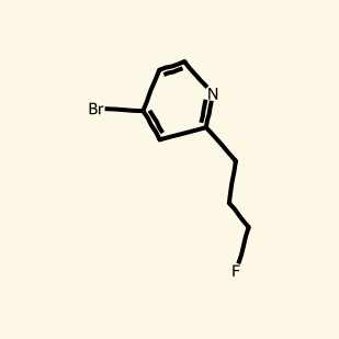 FCCCc1cc(Br)ccn1